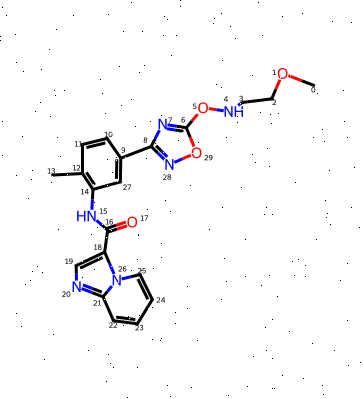 COCCNOc1nc(-c2ccc(C)c(NC(=O)c3cnc4ccccn34)c2)no1